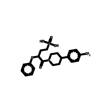 O=C(C(CCP(=O)(O)O)Oc1ccccc1)N1CCC(c2ccc(C(F)(F)F)cc2)CC1